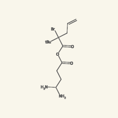 C=CCC(Br)(C(=O)OC(=O)CCC(N)N)C(C)(C)C